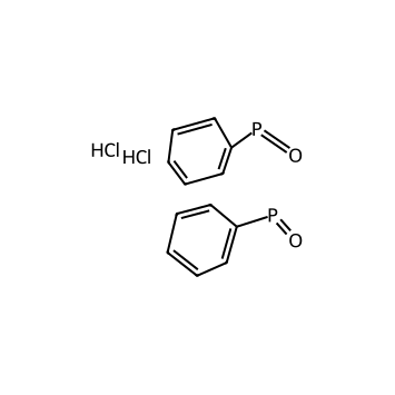 Cl.Cl.O=Pc1ccccc1.O=Pc1ccccc1